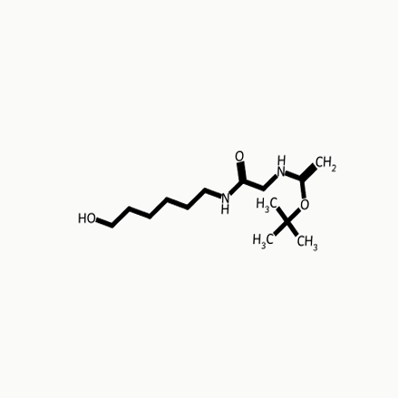 C=C(NCC(=O)NCCCCCCO)OC(C)(C)C